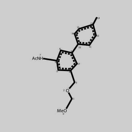 COCOCc1cc(NC(C)=O)cc(-c2ccc(C)cc2)c1